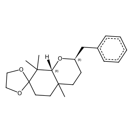 CC12CC[C@H](Cc3ccccc3)O[C@H]1C(C)(C)C1(CC2)OCCO1